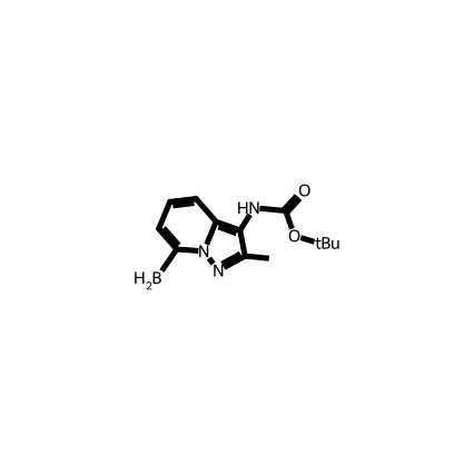 Bc1cccc2c(NC(=O)OC(C)(C)C)c(C)nn12